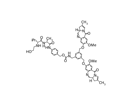 COc1cc2c(cc1OCc1cc(CNC(=O)OCc3ccc(NC(=O)[C@H](C)NC(=O)[C@@H](NCCO)C(C)C)cc3)cc(COc3cc4c(cc3OC)C(=O)N3C=C(C)C[C@H]3C=N4)c1)N=C[C@@H]1CC(C)=CN1C2=O